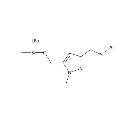 CC(=O)SCc1cc(CO[Si](C)(C)C(C)(C)C)n(C)n1